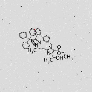 CCCCc1nc(C(C)O)c(C(=O)OCC)n1Cc1ccc(-c2ccccc2-c2nnnn2C(c2ccccc2)(c2ccccc2)c2ccccc2)cc1